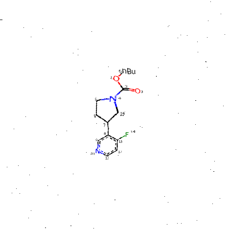 CCCCOC(=O)N1CCC(c2cnccc2F)C1